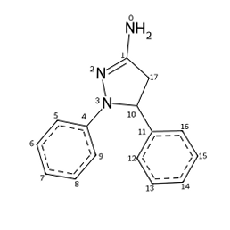 NC1=NN(c2ccccc2)C(c2ccccc2)C1